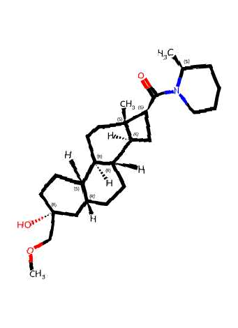 COC[C@@]1(O)CC[C@H]2[C@H](CC[C@@H]3[C@@H]2CC[C@]2(C)[C@@H](C(=O)N4CCCC[C@@H]4C)C[C@@H]32)C1